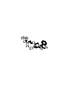 CCOCc1nc2cnc3ccccc3c2n1CCOCCNC(=O)OC(C)(C)C